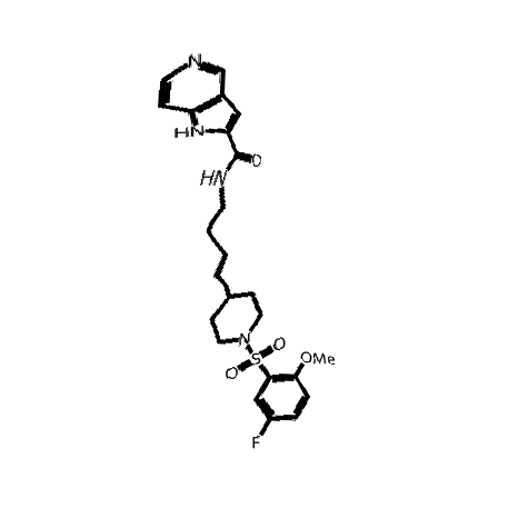 COc1ccc(F)cc1S(=O)(=O)N1CCC(CCCCNC(=O)c2cc3cnccc3[nH]2)CC1